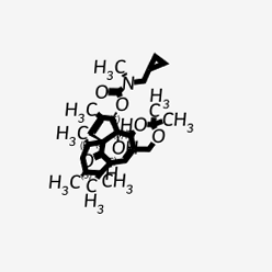 CC1=C[C@]23C(=O)[C@@H](C=C4COC(C)(C)O[C@H]4[C@]2(O)[C@H]1OC(=O)N(C)CC1CC1)C(C)(C)[C@@H](C)C[C@H]3C